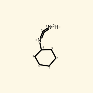 [2H]N=C=NC1CCCCC1